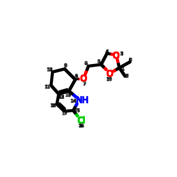 CC1(C)OCC(CO[C@H]2CCCC3=C2NC(Cl)C=C3)O1